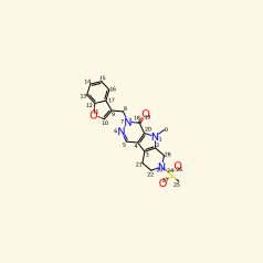 Cn1c2c(c3cnn(Cc4coc5ccccc45)c(=O)c31)CCN(S(C)(=O)=O)C2